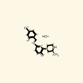 C[C@H]1CN(c2nc(OCc3ccc(Cl)cc3F)ccc2F)CCN1.Cl